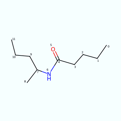 CCCCC(=O)NC(C)CCC